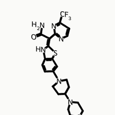 NC(=O)/C(=C1\Nc2ccc(N3CCC(N4CCOCC4)CC3)cc2S1)c1nccc(C(F)(F)F)n1